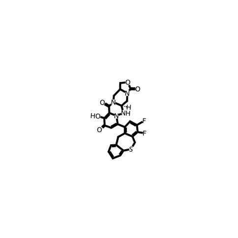 O=C1OCC2CN3C(=O)c4c(O)c(=O)cc(-c5cc(F)c(F)c6c5Cc5ccccc5SC6)n4N[C@@H]3CN12